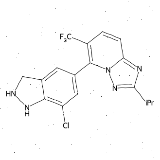 CC(C)c1nc2ccc(C(F)(F)F)c(-c3cc(Cl)c4c(c3)CNN4)n2n1